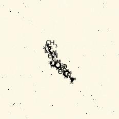 Cn1cnc(-c2nnc(-n3ccc4cc(S(=O)(=O)C5CCN(C6CC6)CC5)cnc43)o2)c1